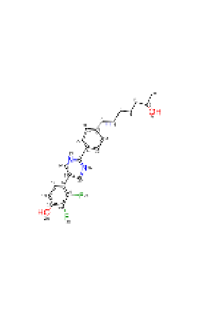 CC(O)CCC/C=C/c1ccc(-c2ncc(-c3ccc(O)c(F)c3F)cn2)cc1